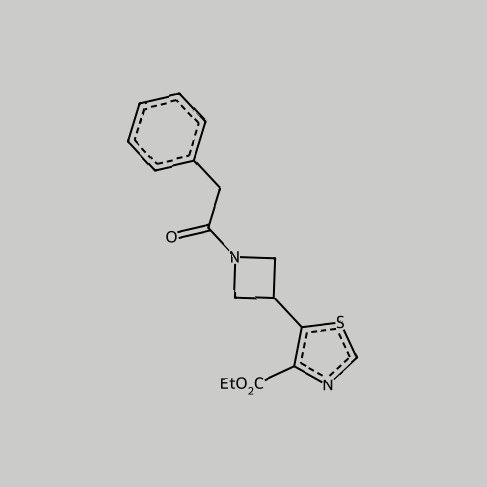 CCOC(=O)c1ncsc1C1CN(C(=O)Cc2ccccc2)C1